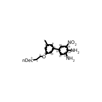 CCCCCCCCCCCCOc1cc(C)cc(-c2cc(N)c(N)c([N+](=O)[O-])c2)c1